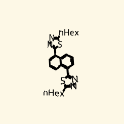 CCCCCCc1nnc(-c2cccc3c(-c4nnc(CCCCCC)s4)cccc23)s1